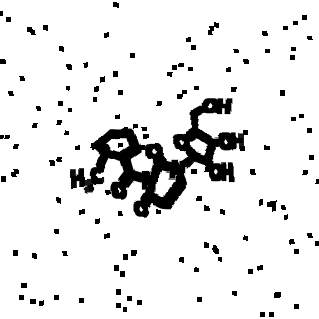 Cc1ccccc1C(=O)n1c(=O)ccn([C@H]2O[C@@H](CO)C(O)C2O)c1=O